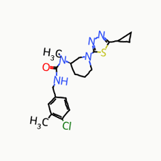 Cc1cc(CNC(=O)N(C)[C@@H]2CCCN(c3nnc(C4CC4)s3)C2)ccc1Cl